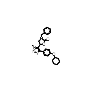 Cn1nnc(-c2ccc(OC3CCCCC3)cc2)c1C1CN(Cc2ccccc2)C(=O)O1